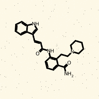 NC(=O)c1cccc(NC(=O)C=Cc2c[nH]c3ccccc23)c1CCN1CCCCC1